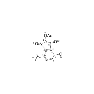 CC(=O)ON1C(=O)c2c(C)ccc(Cl)c2C1=O